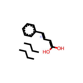 CCCC.CCCC.OC(O)=C/C=C/c1ccccc1